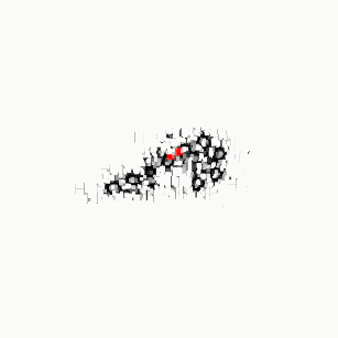 C=CC(=O)O.COC(=O)N[C@H]1[C@H](O[C@H]2[C@H](O)[C@@H](N)[C@H](O[C@H]3[C@H](O)[C@@H](N)[C@H](O)O[C@@H]3CO)O[C@@H]2CO)O[C@H](CO)[C@@H](O[C@@H]2O[C@H](CO)[C@@H](O[C@@H]3O[C@H](CO)[C@@H](O[C@@H]4O[C@H](CO)[C@@H](O[C@@H]5O[C@H](CO)[C@@H](O[C@@H]6O[C@H](CO)[C@@H](O[C@@H]7O[C@H](CO)[C@@H](O)[C@H](O)[C@H]7N)[C@H](O)[C@H]6N)[C@H](O)[C@H]5N)[C@H](O)[C@H]4N)[C@H](O)[C@H]3N)[C@H](O)[C@H]2N)[C@@H]1O